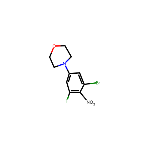 O=[N+]([O-])c1c(F)cc(N2CCOCC2)cc1Br